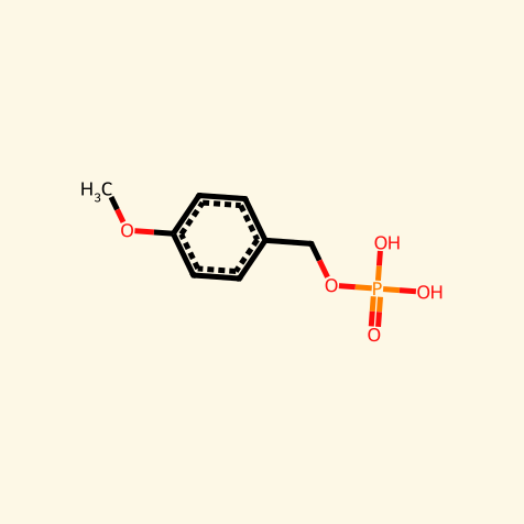 COc1ccc(COP(=O)(O)O)cc1